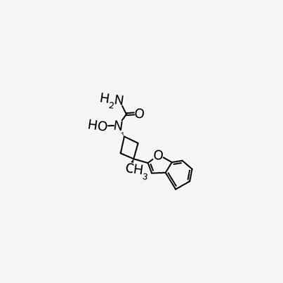 C[C@]1(c2cc3ccccc3o2)C[C@@H](N(O)C(N)=O)C1